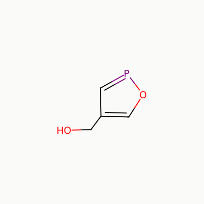 OCc1copc1